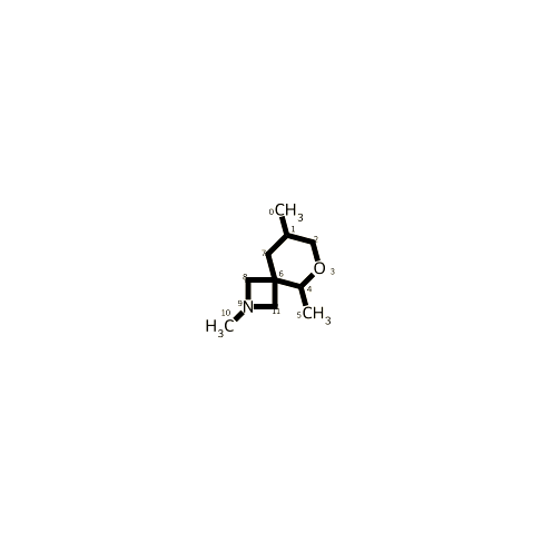 CC1COC(C)C2(C1)CN(C)C2